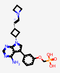 Nc1ncnc2c1c(-c1cccc(OCP(=O)(O)O)c1)cn2[C@H]1C[C@@H](/C=C/N2CCC2)C1